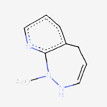 CC(=O)ON1NC=CCc2cccnc21